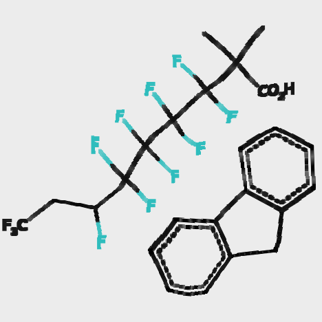 CC(C)(C(=O)O)C(F)(F)C(F)(F)C(F)(F)C(F)(F)C(F)CC(F)(F)F.c1ccc2c(c1)Cc1ccccc1-2